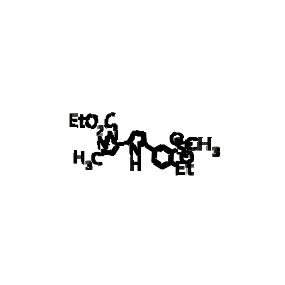 CCOC(=O)Cn1nc(C)cc1-c1ccc(-c2ccc(CC)c(S(C)(=O)=O)c2)[nH]1